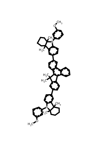 COc1cccc(N2c3ccc(-c4ccc5c(c4)C(C)(C)c4c-5c5ccccc5c5cc(-c6ccc7c(c6)C6(C)CCCCC6(C)N7c6cccc(OC)c6)ccc45)cc3C3(C)CCCCC23C)c1